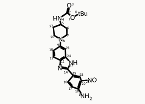 CC(C)(C)OC(=O)NC1CCN(c2ccc3nc(-c4ccc(N)c(N=O)c4)[nH]c3c2)CC1